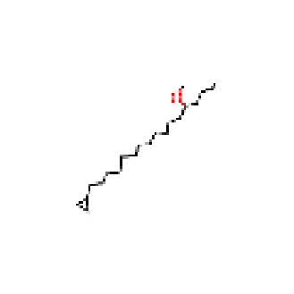 CCCCC(CCCCCCCCCCCCC1CC1)OC